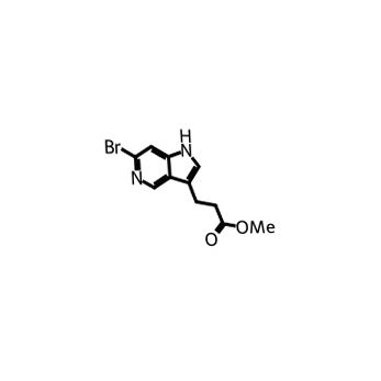 COC(=O)CCc1c[nH]c2cc(Br)ncc12